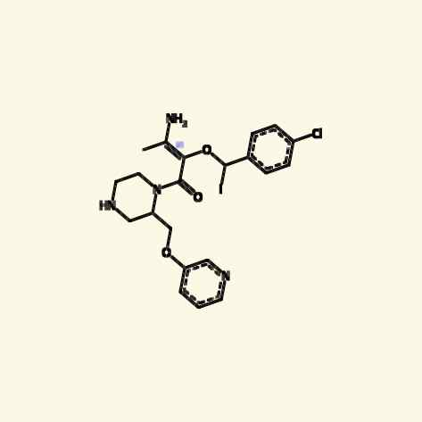 C/C(N)=C(/OC(I)c1ccc(Cl)cc1)C(=O)N1CCNCC1COc1cccnc1